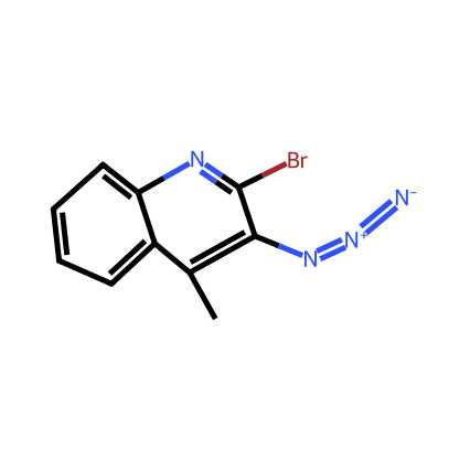 Cc1c(N=[N+]=[N-])c(Br)nc2ccccc12